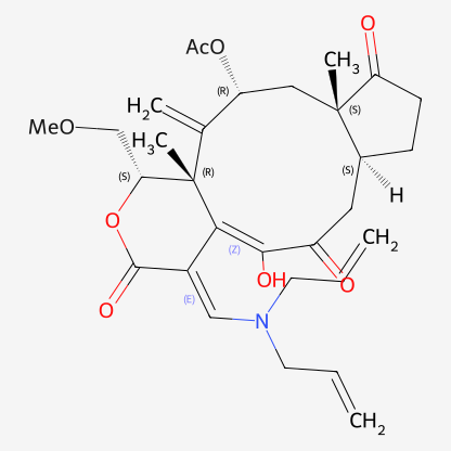 C=CCN(/C=C1C(=O)O[C@H](COC)[C@]2(C)C(=C)[C@H](OC(C)=O)C[C@]3(C)C(=O)CC[C@H]3CC(=O)/C(O)=C/12)CC=C